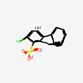 O=S(=O)(O)c1c(Cl)ccc2c1Cc1ccccc1-2.[LiH]